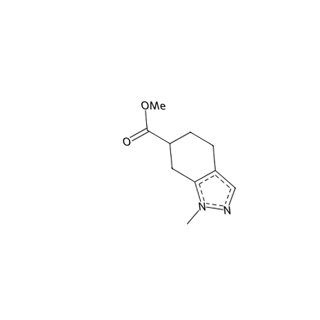 COC(=O)C1CCc2cnn(C)c2C1